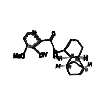 COc1ccnc(C(=O)NC2CCC[C@H]3[C@H]4CC[C@H](C4)[C@@H]23)c1O